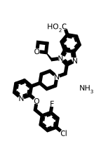 N.O=C(O)c1ccc2nc(CN3CCC(c4cccnc4OCc4ccc(Cl)cc4F)CC3)n(C[C@@H]3CCO3)c2c1